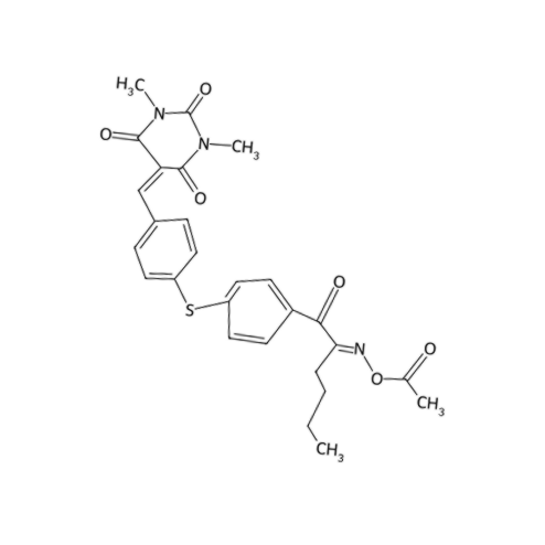 CCCC/C(=N\OC(C)=O)C(=O)c1ccc(Sc2ccc(C=C3C(=O)N(C)C(=O)N(C)C3=O)cc2)cc1